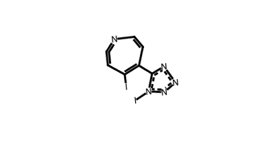 IC1=C(c2nnnn2I)C=CN=C=C1